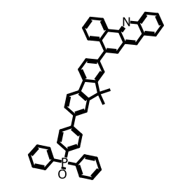 CC1(C)c2cc(-c3ccc(P(=O)(c4ccccc4)c4ccccc4)cc3)ccc2-c2ccc(-c3cc4cc5ccccc5nc4c4ccccc34)cc21